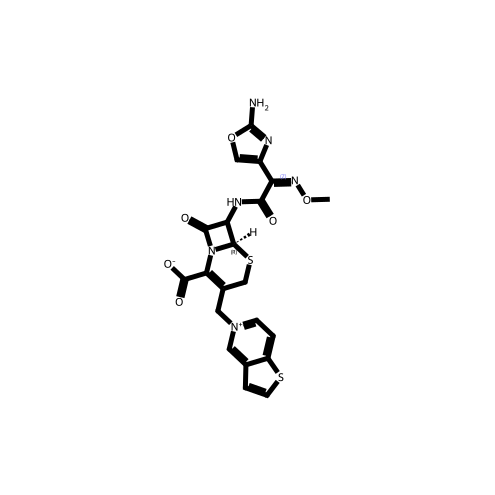 CO/N=C(\C(=O)NC1C(=O)N2C(C(=O)[O-])=C(C[n+]3ccc4sccc4c3)CS[C@H]12)c1coc(N)n1